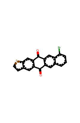 O=C1c2cc3ccsc3cc2C(=O)c2cc3c(Br)cccc3cc21